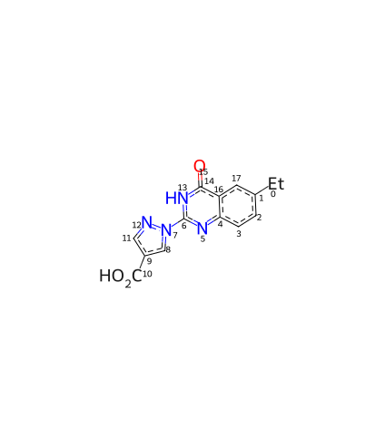 CCc1ccc2nc(-n3cc(C(=O)O)cn3)[nH]c(=O)c2c1